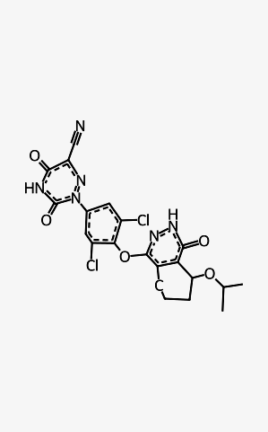 CC(C)OC1CCCc2c(Oc3c(Cl)cc(-n4nc(C#N)c(=O)[nH]c4=O)cc3Cl)n[nH]c(=O)c21